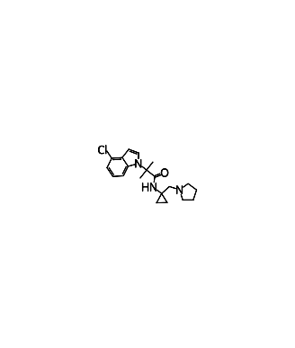 CC(C)(C(=O)NC1(CN2CCCC2)CC1)n1ccc2c(Cl)cccc21